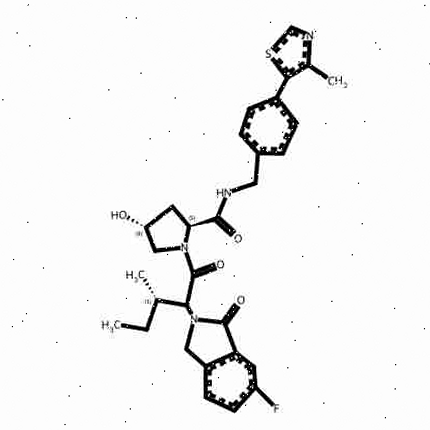 CC[C@H](C)C(C(=O)N1C[C@H](O)C[C@H]1C(=O)NCc1ccc(-c2scnc2C)cc1)N1Cc2ccc(F)cc2C1=O